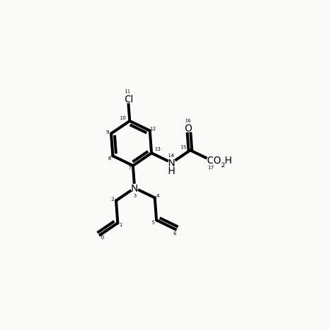 C=CCN(CC=C)c1ccc(Cl)cc1NC(=O)C(=O)O